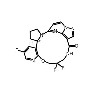 O=C1NCC(F)(F)COc2ncc(F)cc2[C@H]2CCCN2c2ccn3ncc1c3n2